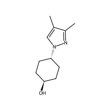 Cc1cn([C@H]2CC[C@H](O)CC2)nc1C